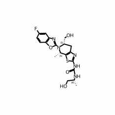 C[C@H](CO)NC(=O)Nc1nc2c(s1)[C@H](C)N(c1nc3cc(F)ccc3o1)[C@H](CO)C2